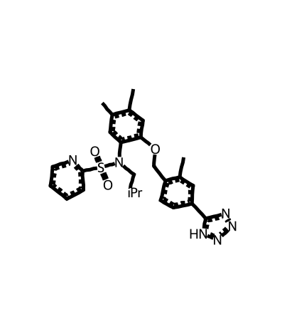 Cc1cc(OCc2ccc(-c3nnn[nH]3)cc2C)c(N(CC(C)C)S(=O)(=O)c2ccccn2)cc1C